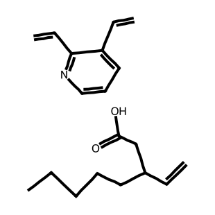 C=CC(CCCCC)CC(=O)O.C=Cc1cccnc1C=C